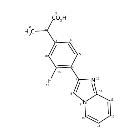 CC(C(=O)O)c1ccc(-c2cn3ccccc3n2)c(F)c1